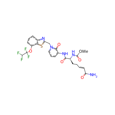 COC(=O)N[C@@H](CC/C=C/C(N)=O)C(=O)Nc1cccn(Cc2nc3cccc(OC(F)(F)C(F)F)c3s2)c1=O